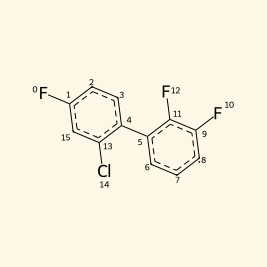 Fc1ccc(-c2cc[c]c(F)c2F)c(Cl)c1